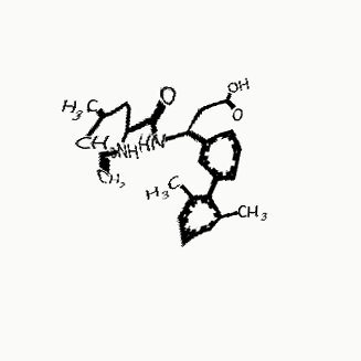 C=CNC(CC(C)C)C(=O)N[C@@H](CC(=O)O)c1cccc(-c2c(C)cccc2C)c1